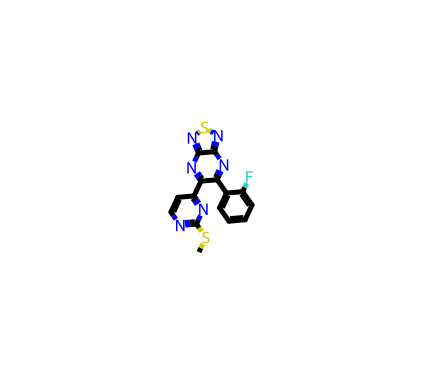 CSc1nccc(-c2nc3nsnc3nc2-c2ccccc2F)n1